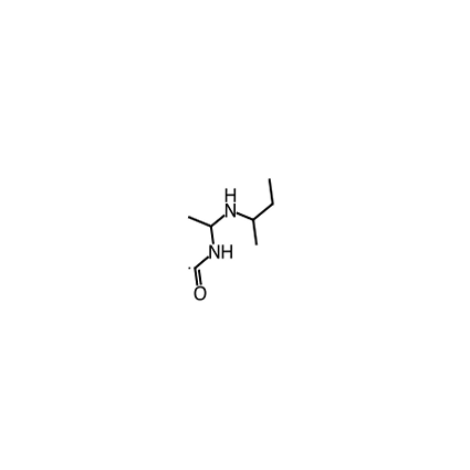 CCC(C)NC(C)N[C]=O